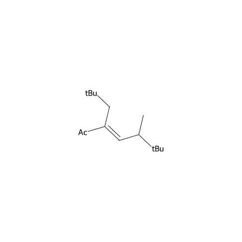 CC(=O)/C(=C/C(C)C(C)(C)C)CC(C)(C)C